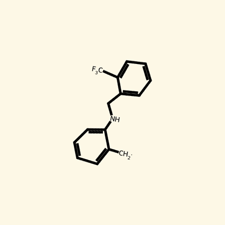 [CH2]c1ccccc1NCc1ccccc1C(F)(F)F